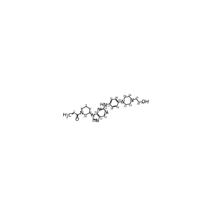 C=CC(=O)N1CCCC(n2cnc3cnc(Nc4ccc(N5CCN(CCO)CC5)cc4)nc32)C1